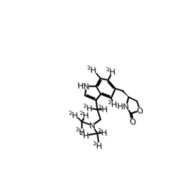 [2H]c1c(C[C@H]2COC(=O)N2)c([2H])c2c(C([2H])([2H])CN(C([2H])([2H])[2H])C([2H])([2H])[2H])c[nH]c2c1[2H]